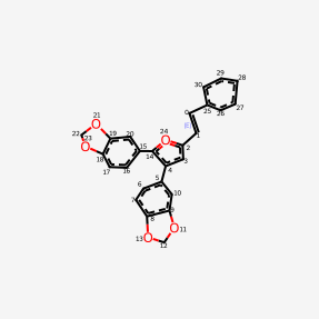 C(=C\c1cc(-c2ccc3c(c2)OCO3)c(-c2ccc3c(c2)OCO3)o1)/c1ccccc1